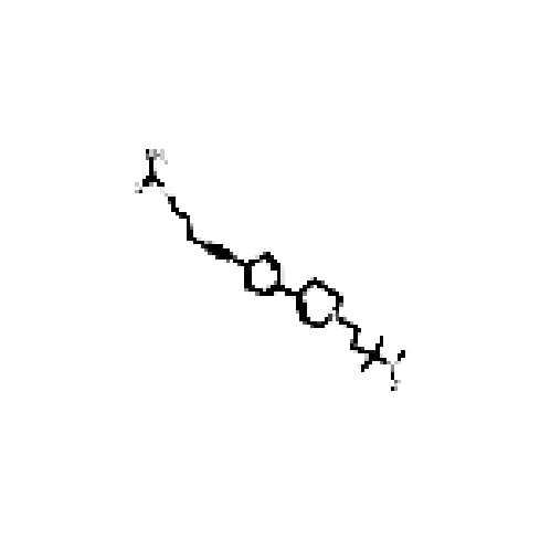 C[S+]([O-])C(C)(C)CCN1CC=C(c2ccc(C#CCCCOC(N)=O)cc2)CC1